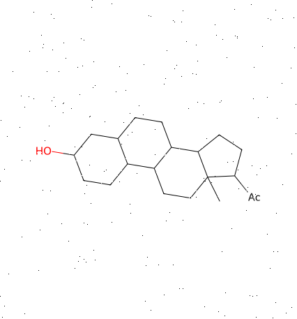 CC(=O)C1CCC2C3CCC4CC(O)CCC4C3CCC12C